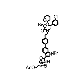 CC(=O)OCCCS(=O)(=O)NC(=O)c1cn(C(C)C)c2cc(-c3ccc(CCN(C[C@@H](OC4CCCCO4)c4cccc(Cl)c4)C(=O)OC(C)(C)C)cc3)ccc12